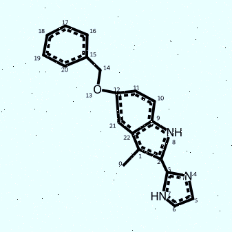 Cc1c(-c2ncc[nH]2)[nH]c2ccc(OCc3ccccc3)cc12